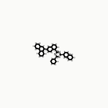 c1ccc(-c2nc(-c3ccc4ccccc4c3)nc(-c3cccc4cc(-c5cc6ccccc6c6ccccc56)ccc34)n2)cc1